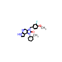 COc1ccc(Cn2c(=O)n([C@H]3CCCC[C@H]3C)c3c4cc[nH]c4ncc32)cc1F